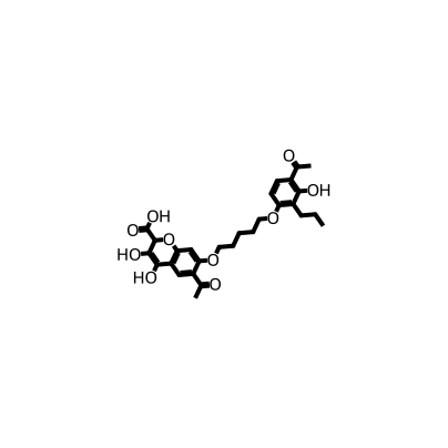 CCCc1c(OCCCCCOc2cc3c(cc2C(C)=O)C(O)=C(O)C(C(=O)O)O3)ccc(C(C)=O)c1O